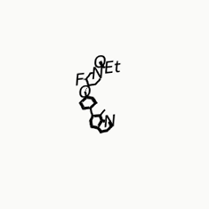 CCC(=O)N1CC[C@H](Oc2ccc(-c3ccc4cccnc4c3C)cc2)[C@H](F)C1